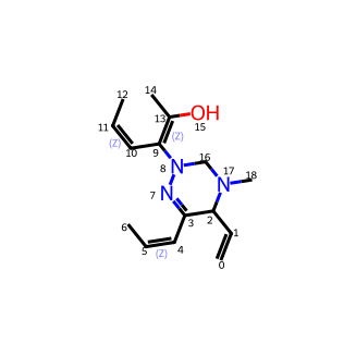 C=CC1C(/C=C\C)=NN(C(/C=C\C)=C(/C)O)CN1C